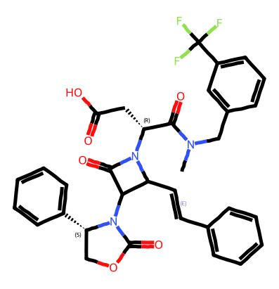 CN(Cc1cccc(C(F)(F)F)c1)C(=O)[C@@H](CC(=O)O)N1C(=O)C(N2C(=O)OC[C@@H]2c2ccccc2)C1/C=C/c1ccccc1